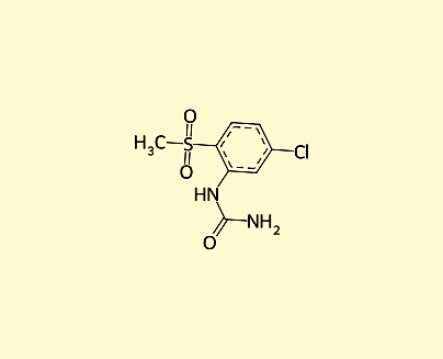 CS(=O)(=O)c1ccc(Cl)cc1NC(N)=O